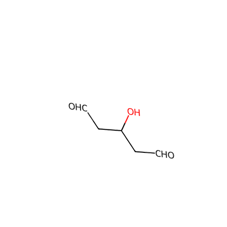 O=CCC(O)CC=O